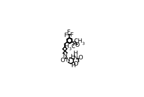 CP(C)(=O)c1cc(CC2CC3(C2)CN(C(=O)N2CC[C@@H]4OCC(=O)N[C@@H]4C2)C3)cc(C(F)(F)F)c1